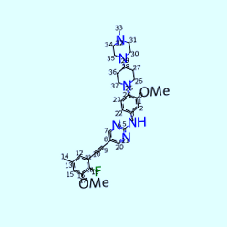 COc1cc(Nc2ncc(C#Cc3cc(C)cc(OC)c3F)cn2)ccc1N1CCC(N2CCN(C)CC2)CC1